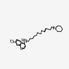 Clc1ccc2c(NCCCCCCCCCCCCN3CCCCC3)ccnc2c1